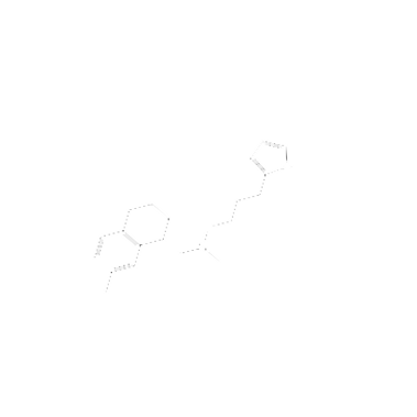 Cc1ccc2c(c1)C(CN(C)OCCCc1ccco1)CCC2.Cl